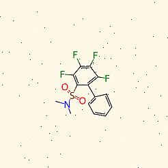 CN(C)S(=O)(=O)c1c(F)c(F)c(F)c(F)c1-c1ccccc1